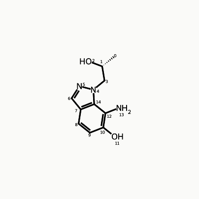 C[C@@H](O)Cn1ncc2ccc(O)c(N)c21